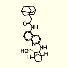 O=C(CC12CC3CC(CC(C3)C1)C2)Nc1cccc2nc(NC3[C@@H]4CC[C@@H](C4)[C@@H]3CO)ccc12